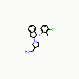 Cc1c(Cl)cccc1O[C@@H]1c2ccccc2C[C@H]1N1CCC(CN)C1